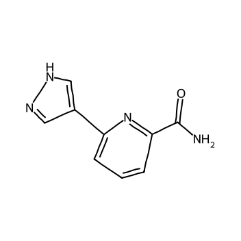 NC(=O)c1cccc(-c2cn[nH]c2)n1